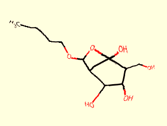 CCCCOC1OC2(O)C(CO)C(O)C(O)C12